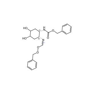 O=C(N[C@H]1CC(O)C(O)C[C@H]1/N=C\OOCc1ccccc1)OCc1ccccc1